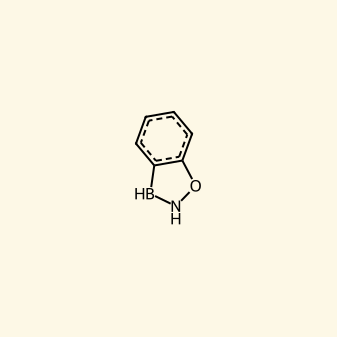 B1NOc2ccccc21